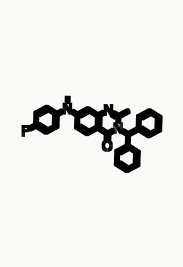 Cc1nc2cc(N(C)c3ccc(F)cc3)ccc2c(=O)n1C(c1ccccc1)c1ccccc1